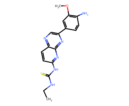 CCNC(=S)Nc1ccc2ncc(-c3ccc(N)c(OC)c3)nc2n1